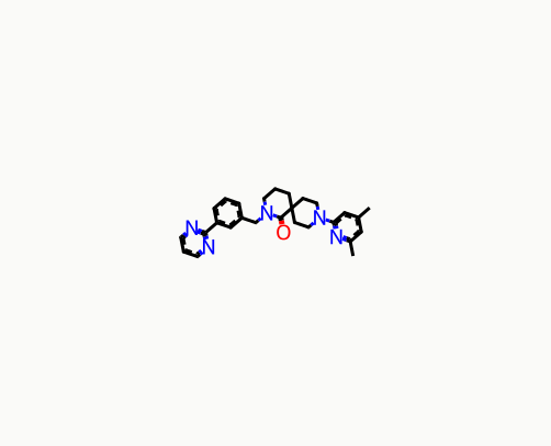 Cc1cc(C)nc(N2CCC3(CCCN(Cc4cccc(-c5ncccn5)c4)C3=O)CC2)c1